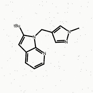 Cn1cc(Cn2c(C(C)(C)C)cc3cccnc32)cn1